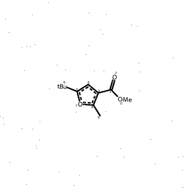 COC(=O)c1cc(C(C)(C)C)oc1C